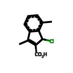 CC1=C(C(=O)O)C(Cl)c2c(C)cccc21